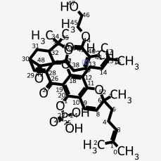 CC(C)=CCCC1(C)C=Cc2c(c(CC=C(C)C)c3c(c2OP(=O)(O)O)C(=O)C2=CC4CC5C(C)(C)OC(C/C=C(/C)C(=O)OCCO)(C4=O)C25O3)O1